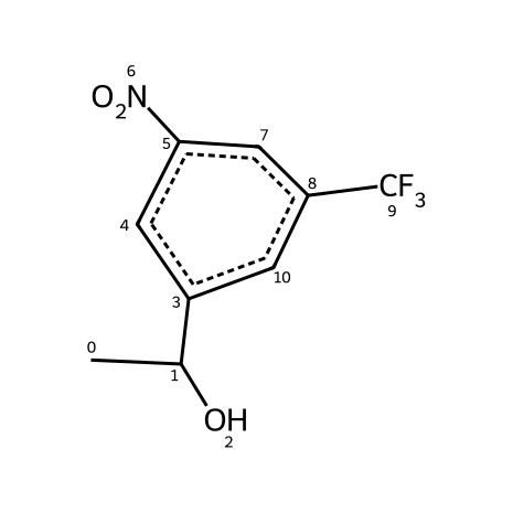 CC(O)c1cc([N+](=O)[O-])cc(C(F)(F)F)c1